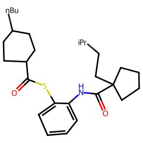 CCCCC1CCC(C(=O)Sc2ccccc2NC(=O)C2(CCC(C)C)CCCC2)CC1